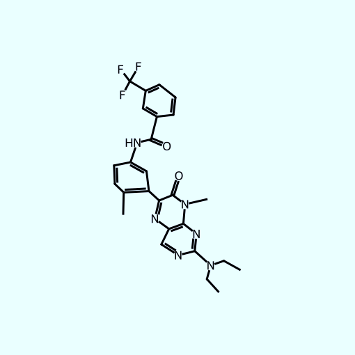 CCN(CC)c1ncc2nc(-c3cc(NC(=O)c4cccc(C(F)(F)F)c4)ccc3C)c(=O)n(C)c2n1